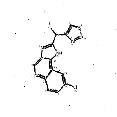 FC(c1csnn1)c1nc2cnc3ccc(Cl)cc3c2[nH]1